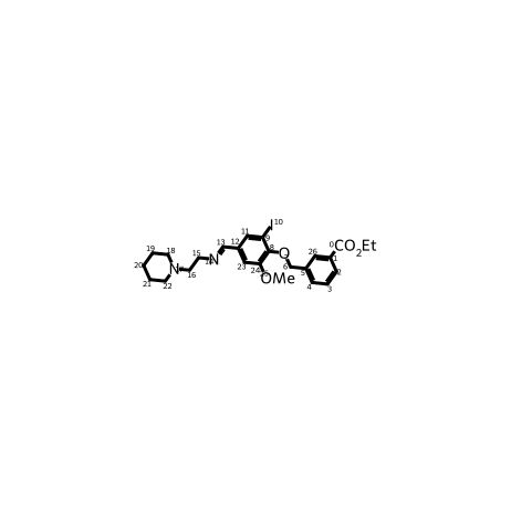 CCOC(=O)c1cccc(COc2c(I)cc(/C=N/CCN3CCCCC3)cc2OC)c1